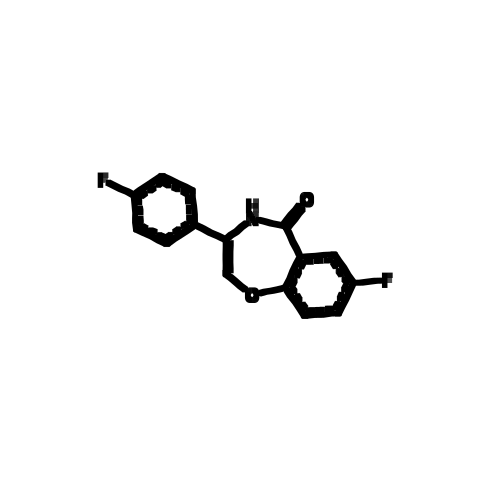 O=C1NC(c2ccc(F)cc2)=COc2ccc(F)cc21